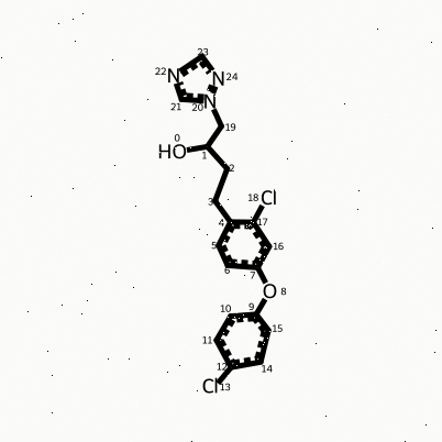 OC(CCc1ccc(Oc2ccc(Cl)cc2)cc1Cl)Cn1cncn1